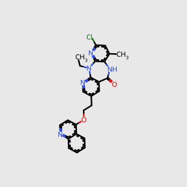 CCN1c2ncc(CCOc3ccnc4ccccc34)cc2C(=O)Nc2c(C)cc(Cl)nc21